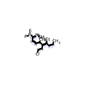 C\C=C/C(CC)=C(\C=C\Cl)C(C)/C=C\C(=N/C)P(F)F